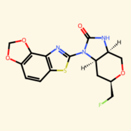 O=C1N[C@H]2CO[C@@H](CF)C[C@H]2N1c1nc2c3c(ccc2s1)OCO3